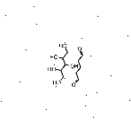 O=CCCCC=O.OCC(O)C(O)C(O)CO